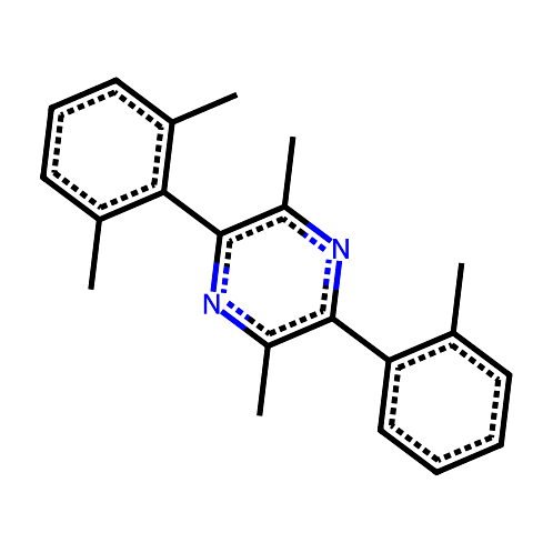 Cc1ccccc1-c1nc(C)c(-c2c(C)cccc2C)nc1C